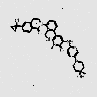 Cn1cc(-c2cccc(N3CCc4cc(C5(Cl)CC5)ccc4C3=O)c2CO)cc(Nc2ccc(N3CCC(C)(O)CC3)cn2)c1=O